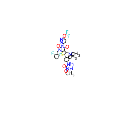 CONC(=O)Nc1ccc(-c2sc3c(c2CN(C)C)c(=O)n(-c2ccc(OC(F)F)nn2)c(=O)n3Cc2c(F)cccc2F)cc1